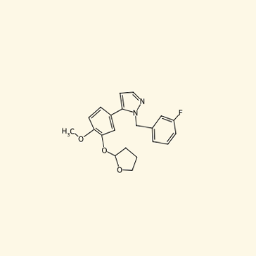 COc1ccc(-c2ccnn2Cc2cccc(F)c2)cc1OC1CCCO1